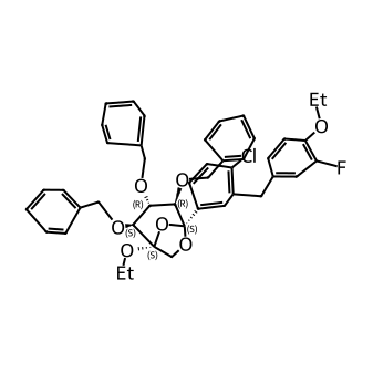 CCOc1ccc(Cc2cc([C@]34OC[C@](OCC)(O3)[C@@H](OCc3ccccc3)[C@H](OCc3ccccc3)[C@H]4OCc3ccccc3)ccc2Cl)cc1F